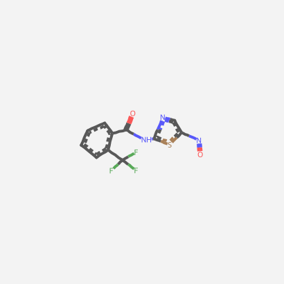 O=Nc1cnc(NC(=O)c2ccccc2C(F)(F)F)s1